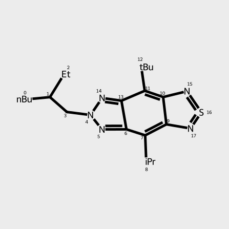 CCCCC(CC)Cn1nc2c(C(C)C)c3c(c(C(C)(C)C)c2n1)N=S=N3